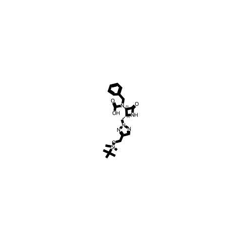 CC(C)(C)[Si](C)(C)OCc1cnn(C[C@H]2NC(=O)[C@H]2N(Cc2ccccc2)C(=O)O)n1